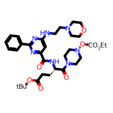 CCOC(=O)ON1CCN(C(=O)[C@H](CCC(=O)OC(C)(C)C)NC(=O)c2cc(NCCN3CCOCC3)nc(-c3ccccc3)n2)CC1